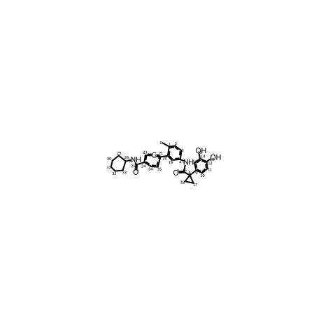 Cc1ccc(NC(=O)C2(c3ccc(O)c(O)c3)CC2)cc1-c1ccc(C(=O)NC2CCCCC2)cc1